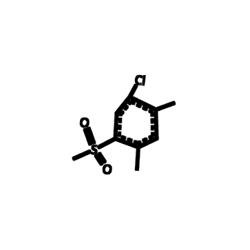 Cc1cc(C)c(S(C)(=O)=O)cc1Cl